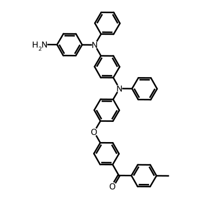 Cc1ccc(C(=O)c2ccc(Oc3ccc(N(c4ccccc4)c4ccc(N(c5ccccc5)c5ccc(N)cc5)cc4)cc3)cc2)cc1